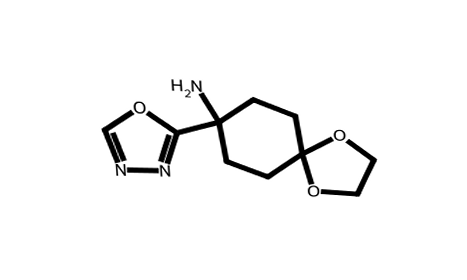 NC1(c2nnco2)CCC2(CC1)OCCO2